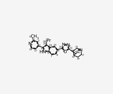 Cc1cc(-c2[nH]c3ccc(-c4nnc(C5CN6CCC5CC6)o4)cc3c2C(C)C)ccn1